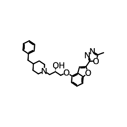 Cc1nnc(-c2cc3c(OC[C@@H](O)CN4CCC(Cc5ccccc5)CC4)cccc3o2)o1